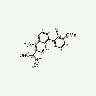 CCN1Cc2nc3c(-c4cccc(OC)c4F)cccc3c(N)c2C1C=O